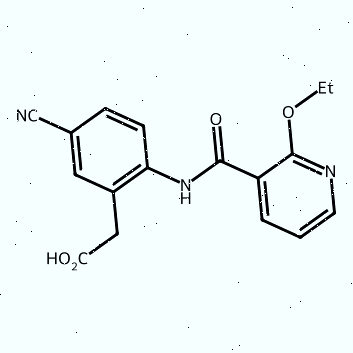 CCOc1ncccc1C(=O)Nc1ccc(C#N)cc1CC(=O)O